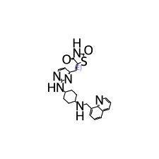 O=C1NC(=O)/C(=C\c2ccnc(NC3CCC(NCc4cccc5cccnc45)CC3)n2)S1